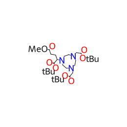 COC(=O)CCC(C(=O)OC(C)(C)C)N1CCN(CC(=O)OC(C)(C)C)CCN(CC(=O)OC(C)(C)C)CC1